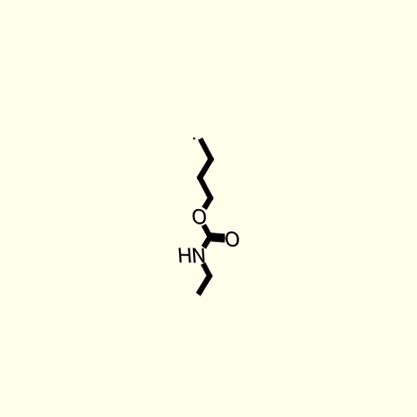 [CH2]CCCOC(=O)NCC